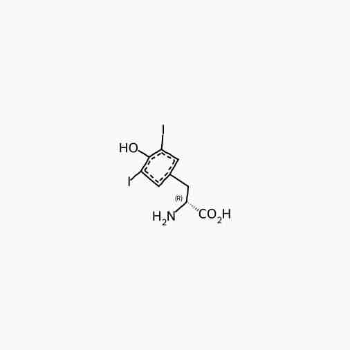 N[C@H](Cc1cc(I)c(O)c(I)c1)C(=O)O